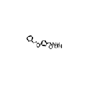 O=C(Cc1ccc(OCCc2ccccc2)cc1)NO